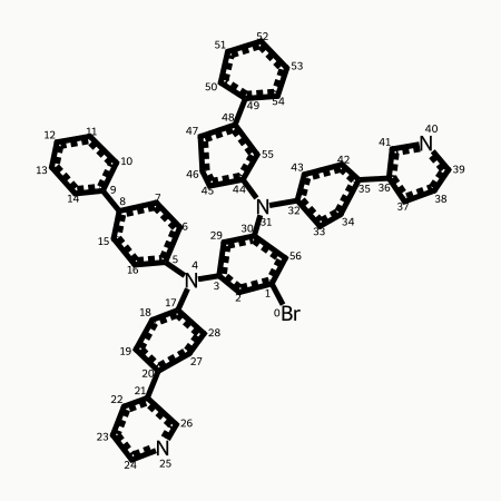 Brc1cc(N(c2ccc(-c3ccccc3)cc2)c2ccc(-c3cccnc3)cc2)cc(N(c2ccc(-c3cccnc3)cc2)c2cccc(-c3ccccc3)c2)c1